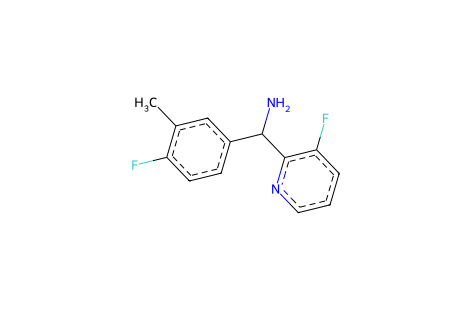 Cc1cc(C(N)c2ncccc2F)ccc1F